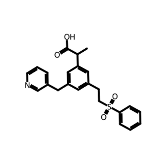 CC(C(=O)O)c1cc(CCS(=O)(=O)c2ccccc2)cc(Cc2cccnc2)c1